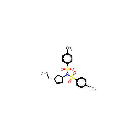 CC(=O)OC[C@H]1C=CC(N(S(=O)(=O)c2ccc(C)cc2)S(=O)(=O)c2ccc(C)cc2)C1